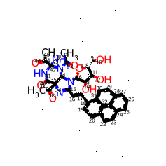 CC(=O)N1C2N([C@@H]3O[C@H](CO)C(O)C3O)C(C=Cc3ccc4ccc5cccc6ccc3c4c56)=NC2(C(C)=O)C(=O)NC1(N)C(C)=O